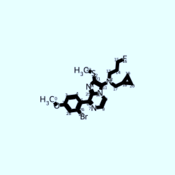 COc1ccc(-c2nccn3c(N(CCCF)CC4CC4)c(SC)nc23)c(Br)c1